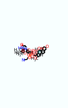 C[C@@H]1C[C@H]2[C@@H]3CCC4=CC(=O)C=C[C@]4(C)[C@@]3(F)[C@@H](O)C[C@]2(C)[C@@]1(O)C(=O)COP(=O)(OCCC#N)O[C@H]1[C@@H](O[Si](C)(C)C(C)(C)C)[C@H](n2ccc(=O)[nH]c2=O)O[C@@H]1CO